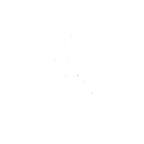 Cc1cc(Nc2nccc(C(F)(F)F)n2)cc(-c2cnc(C3CCS(=O)(=O)CC3)s2)c1